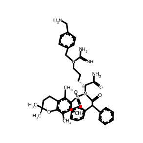 Cc1c(C)c(S(=O)(=O)N(C(=O)C(c2ccccc2)c2ccccc2)[C@H](CCCN(Cc2ccc(CN)cc2)C(=N)N)C(N)=O)c(C)c2c1OC(C)(C)CC2